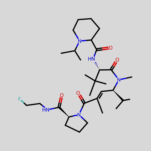 C/C(=C\[C@H](C(C)C)N(C)C(=O)[C@@H](NC(=O)C1CCCCN1C(C)C)C(C)(C)C)C(=O)N1CCC[C@H]1C(=O)NCCF